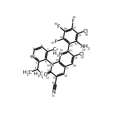 Cc1ccnc(C(C)C)c1-n1c(=O)c(C#N)cc2cc(Cl)c(-c3c(N)c(Cl)c(F)c(F)c3F)nc21